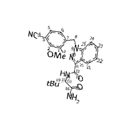 COc1cc(C#N)ccc1Cn1nc(C(=O)N[C@H](C(N)=O)C(C)(C)C)c2ccccc21